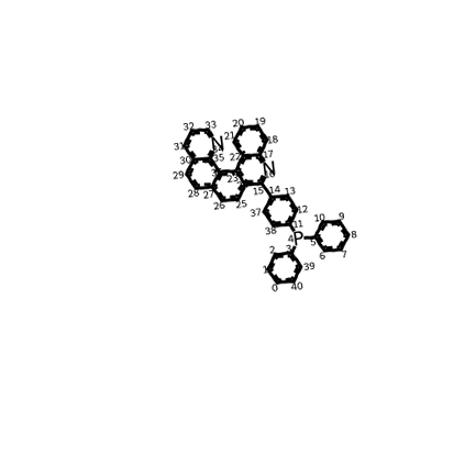 c1ccc(P(c2ccccc2)c2ccc(-c3nc4ccccc4c4c3ccc3ccc5cccnc5c34)cc2)cc1